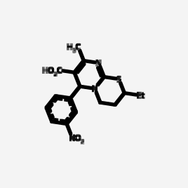 CCC1CCN2C(=NC(C)=C(C(=O)O)C2c2cccc([N+](=O)[O-])c2)S1